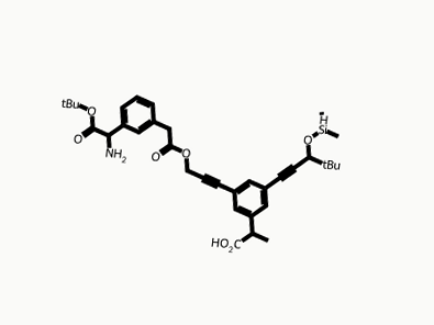 CC(C(=O)O)c1cc(C#CCOC(=O)Cc2cccc(C(N)C(=O)OC(C)(C)C)c2)cc(C#CC(O[SiH](C)C)C(C)(C)C)c1